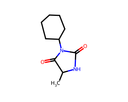 CC1NC(=O)N(C2CCCCC2)C1=O